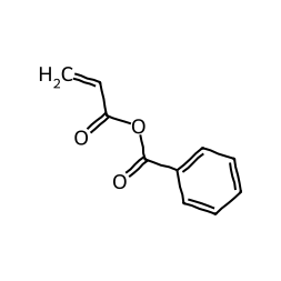 C=CC(=O)OC(=O)c1ccccc1